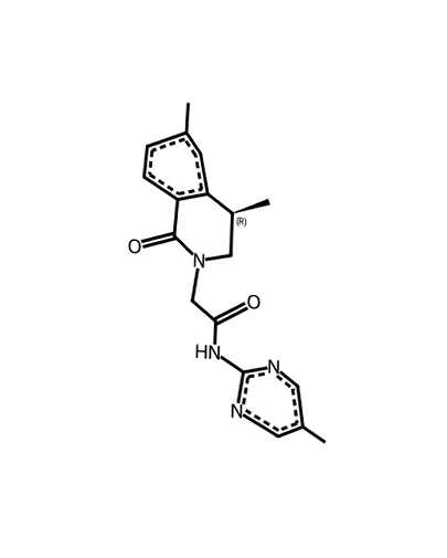 Cc1cnc(NC(=O)CN2C[C@H](C)c3cc(C)ccc3C2=O)nc1